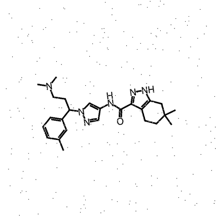 Cc1cccc(C(CCN(C)C)n2cc(NC(=O)c3n[nH]c4c3CCC(C)(C)C4)cn2)c1